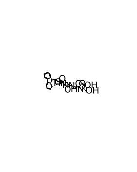 O=C(CNC(=O)OCC1c2ccccc2-c2ccccc21)NCC(=O)N[C@H](CO)C(=O)O